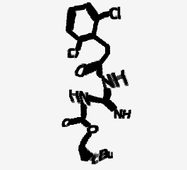 CC(C)(C)COC(=O)NC(=N)NC(=O)Cc1c(Cl)cccc1Cl